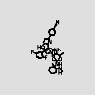 CNC1CCCCC1(C)NC(=O)OC(C)C1=NN(C[C@](O)(c2cc(F)ccc2F)[C@@H](C)c2nc(-c3ccc(C#N)cc3)cs2)C=[N+]1